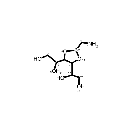 NCB1OC(C(O)CO)C(C(O)CO)O1